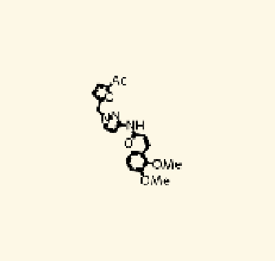 COc1cccc(/C=C\C(=O)Nc2ccn(Cc3ccc(C(C)=O)o3)n2)c1OC